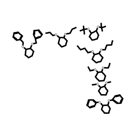 CC(C)(C)OC1CCCCC1OC(C)(C)C.CCCCOC1CCCCC1OCCCC.CCCOC1CCCCC1OCCC.CCOC1CCCCC1OCC.COC1CCCCC1OC.c1ccc(COC2CCCCC2OCc2ccccc2)cc1.c1ccc(OC2CCCCC2Oc2ccccc2)cc1